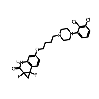 O=C1Nc2cc(OCCCCN3CCN(c4cccc(Cl)c4Cl)CC3)ccc2C2(F)CC12F